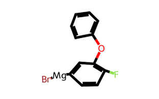 Fc1cc[c]([Mg][Br])cc1Oc1ccccc1